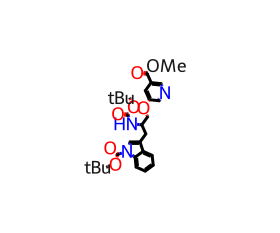 COC(=O)c1cncc(OCC(Cc2cn(C(=O)OC(C)(C)C)c3ccccc23)NC(=O)OC(C)(C)C)c1